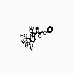 CCOP(=O)(OCC)C1=C(C(=O)O)N2C(=O)C(NC(=O)COc3ccccc3)C2CC1.[NaH]